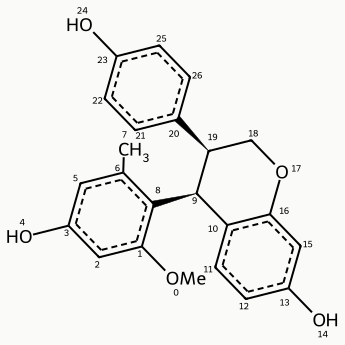 COc1cc(O)cc(C)c1[C@@H]1c2ccc(O)cc2OC[C@@H]1c1ccc(O)cc1